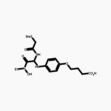 CCN(O)C(=O)C(NC(=O)CSC)Nc1ccc(OCCCC(=O)O)cc1